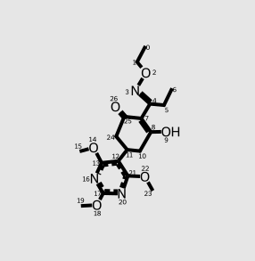 CCON=C(CC)C1=C(O)CC(c2c(OC)nc(OC)nc2OC)CC1=O